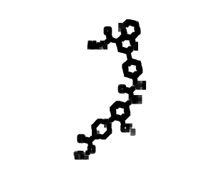 CNC(=O)c1cc(-c2ccc(NC(=O)Nc3ccc(N4CCN(C(=O)OC(C)(C)C)CC4)c(C(F)(F)F)c3)cc2)nc2cccnc12